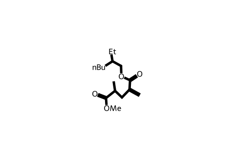 C=C(CC(C)C(=O)OC)C(=O)OCC(CC)CCCC